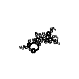 CNC(=O)[C@H](C)NC(=O)[C@H](Cc1ccc(OC)cc1)N(C)C(=O)[C@H](C)NC(=O)[C@@H](C)NC(=O)[C@@H]1Cc2cc(c(OC)cc2Cl)Oc2ccc(cc2)CCC(=O)N1